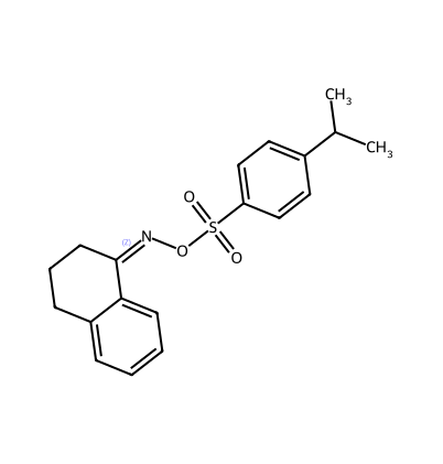 CC(C)c1ccc(S(=O)(=O)O/N=C2/CCCc3ccccc32)cc1